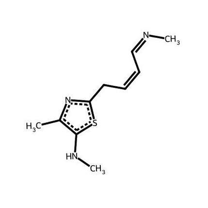 C/N=C\C=C/Cc1nc(C)c(NC)s1